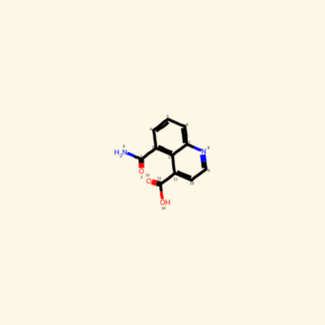 NC(=O)c1cccc2nccc(C(=O)O)c12